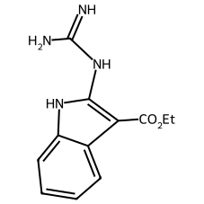 CCOC(=O)c1c(NC(=N)N)[nH]c2ccccc12